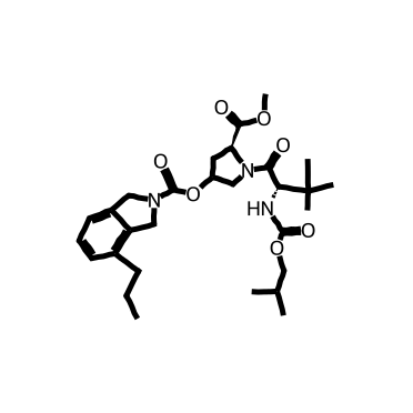 CCCc1cccc2c1CN(C(=O)OC1C[C@@H](C(=O)OC)N(C(=O)[C@@H](NC(=O)OCC(C)C)C(C)(C)C)C1)C2